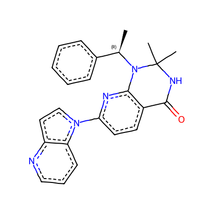 C[C@H](c1ccccc1)N1c2nc(-n3ccc4ncccc43)ccc2C(=O)NC1(C)C